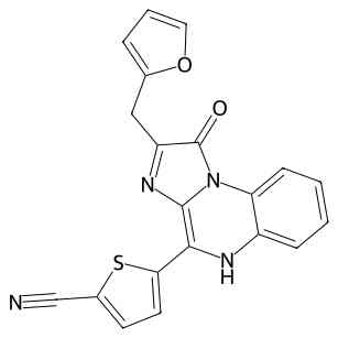 N#Cc1ccc(-c2[nH]c3ccccc3n3c(=O)c(Cc4ccco4)nc2-3)s1